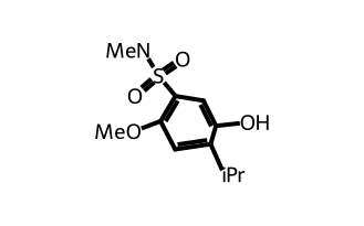 CNS(=O)(=O)c1cc(O)c(C(C)C)cc1OC